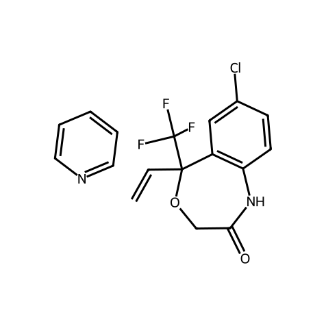 C=CC1(C(F)(F)F)OCC(=O)Nc2ccc(Cl)cc21.c1ccncc1